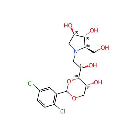 OC[C@@H]1[C@@H](O)[C@H](O)CN1C[C@@H](O)[C@H]1OC(c2cc(Cl)ccc2Cl)OC[C@H]1O